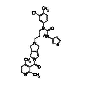 Cc1ccc(N(CCCN2CC3=CN(C(=O)c4c(C)ccnc4C)CC3C2)C(=O)Nc2ccsc2)cc1Cl